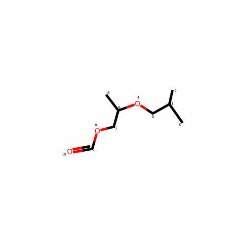 CC(C)COC(C)COC=O